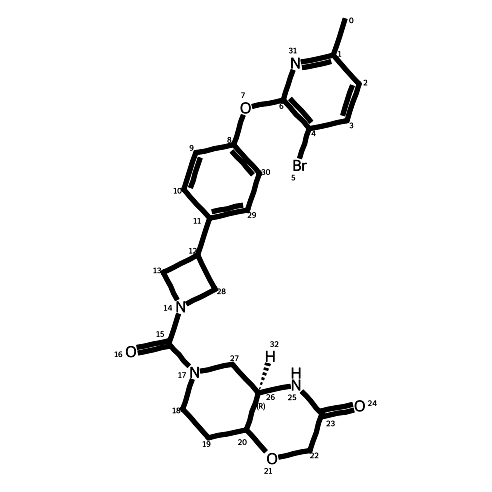 Cc1ccc(Br)c(Oc2ccc(C3CN(C(=O)N4CCC5OCC(=O)N[C@@H]5C4)C3)cc2)n1